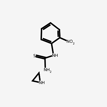 C1CN1.NC(=S)Nc1ccccc1[N+](=O)[O-]